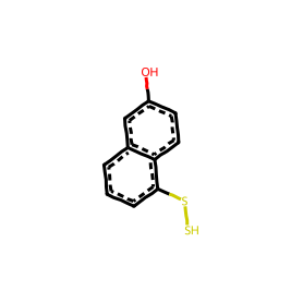 Oc1ccc2c(SS)cccc2c1